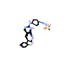 CS(=O)(=O)NC1CCC(Nc2ncc3cc(-c4ccccc4Cl)c(=O)nc-3[nH]2)CC1